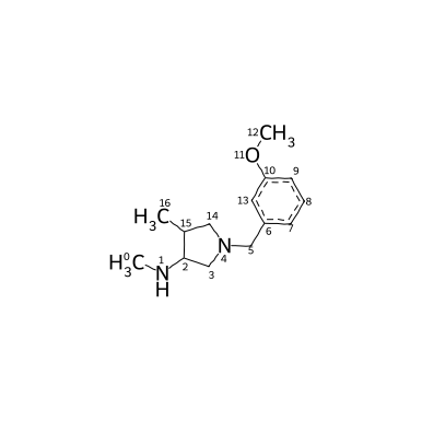 CNC1CN(Cc2cccc(OC)c2)CC1C